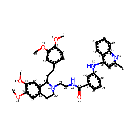 COc1ccc(CCC2c3cc(OC)c(OC)cc3CCN2CCNC(=O)c2cccc(Nc3cc(C)nc4ccccc34)c2)cc1OC